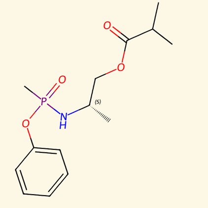 CC(C)C(=O)OC[C@H](C)NP(C)(=O)Oc1ccccc1